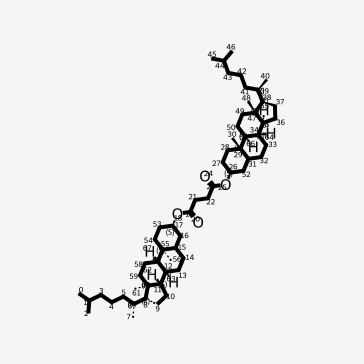 CC(C)CCC[C@@H](C)[C@H]1CC[C@H]2[C@@H]3CCC4C[C@@H](OC(=O)CCC(=O)O[C@H]5CC[C@@]6(C)C(CC[C@H]7[C@@H]8CC[C@H]([C@H](C)CCCC(C)C)[C@@]8(C)CC[C@@H]76)C5)CC[C@]4(C)[C@H]3CC[C@]12C